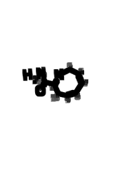 NC(=O)/C1=N/CC=CC=CC1